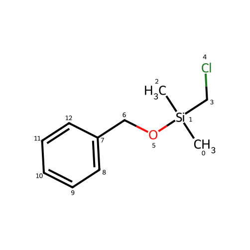 C[Si](C)(CCl)OCc1ccccc1